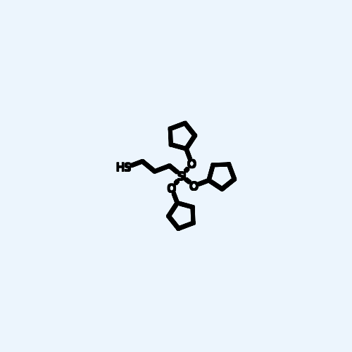 SCCC[Si](OC1CCCC1)(OC1CCCC1)OC1CCCC1